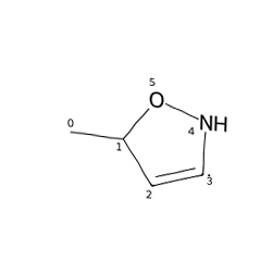 CC1C=[C]NO1